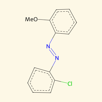 COc1ccccc1N=Nc1ccccc1Cl